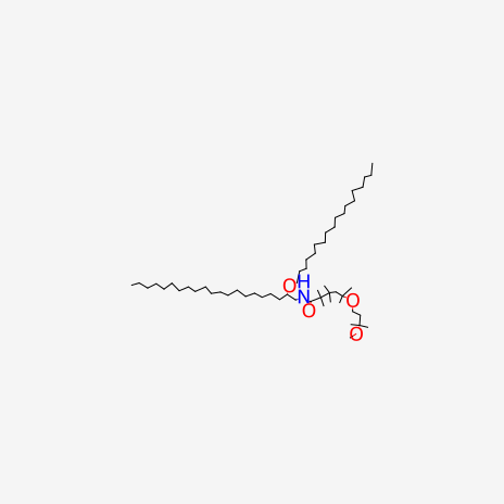 CCCCCCCCCCCCCCCCCCCC(CNC(=O)C(C)(C)C(C)(C)CC(C)(C)OCCC(C)(C)OC)OCCCCCCCCCCCCCCCCCC